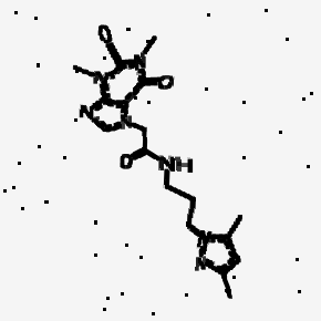 Cc1cc(C)n(CCCNC(=O)Cn2cnc3c2c(=O)n(C)c(=O)n3C)n1